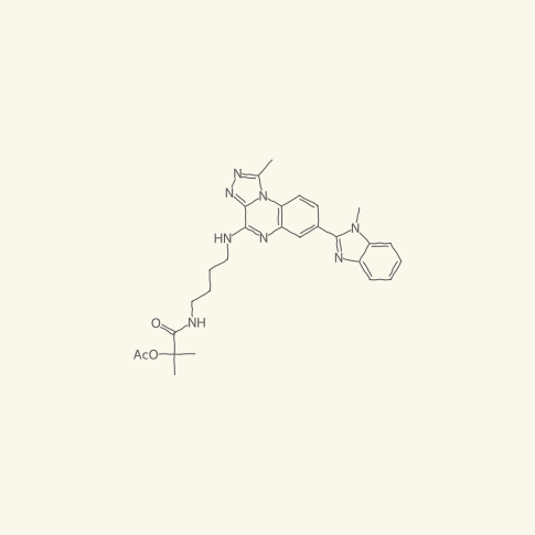 CC(=O)OC(C)(C)C(=O)NCCCCNc1nc2cc(-c3nc4ccccc4n3C)ccc2n2c(C)nnc12